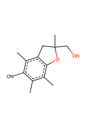 Cc1c(C)c2c(c(C)c1N=O)CC(C)(CO)O2